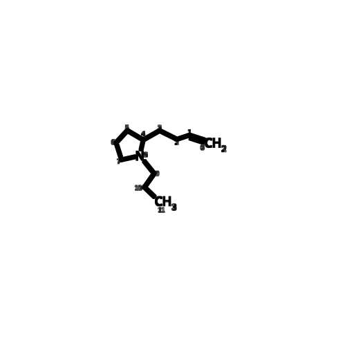 C=CCCC1CCCN1CCC